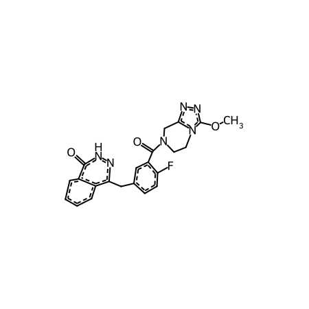 COc1nnc2n1CCN(C(=O)c1cc(Cc3n[nH]c(=O)c4ccccc34)ccc1F)C2